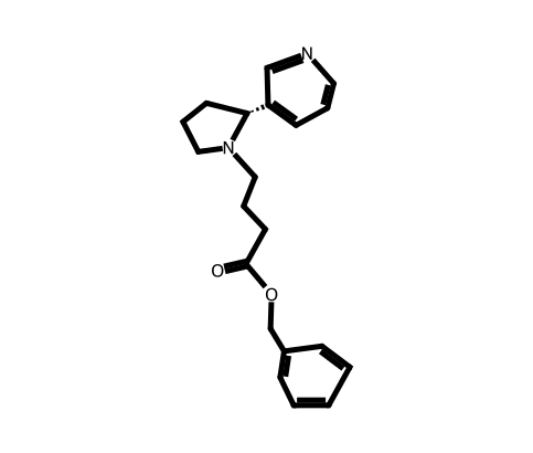 O=C(CCCN1CCC[C@@H]1c1cccnc1)OCc1ccccc1